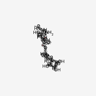 CCC(=O)NCCNC(=O)/N=C(/N)NCCC[C@@H](NC(=O)[C@H](c1ccccc1)c1cccc(OCCCCNC(=O)[C@@H](CO)NC(=O)CCNC(C=O)N2CCN(CC(=O)O)CCN(CC(=O)O)CCN(CC(=O)O)CC2)c1)C(=O)NCc1c(F)cc(O)cc1F